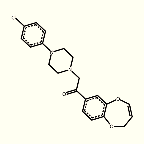 O=C(CN1CCN(c2ccc(Cl)cc2)CC1)c1ccc2c(c1)OC=CCO2